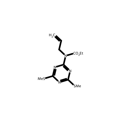 C=CCN(C(=O)OCC)c1nc(SC)nc(SC)n1